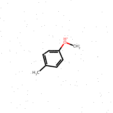 [CH2-][OH+]c1ccc(C)cc1